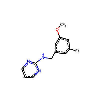 CCc1cc(CNc2nc[c]cn2)cc(OC(F)(F)F)c1